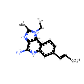 CCCCc1nc2c(N)nc3cc(/C=C/C(=O)O)ccc3c2n1CC(C)C